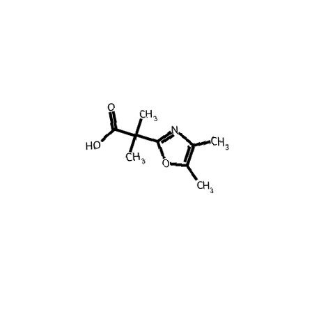 Cc1nc(C(C)(C)C(=O)O)oc1C